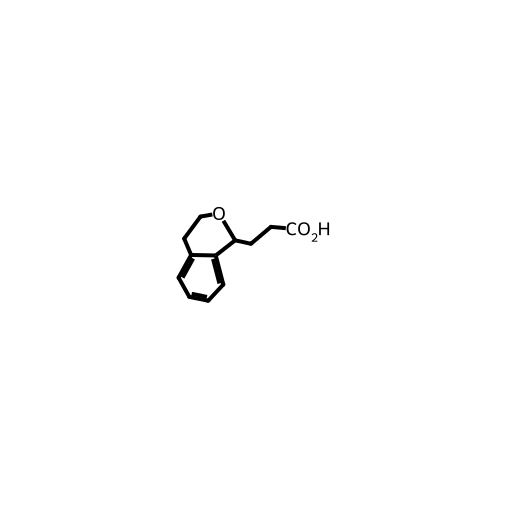 O=C(O)CCC1OCCc2ccccc21